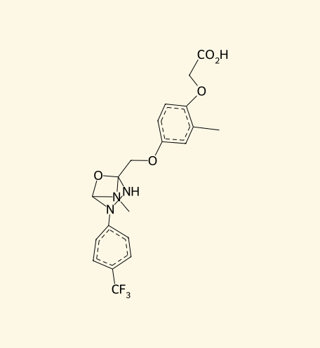 Cc1cc(OCC23NN(c4ccc(C(F)(F)F)cc4)C(O2)N3C)ccc1OCC(=O)O